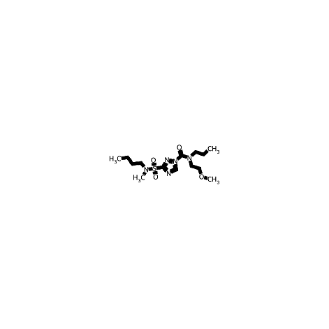 CCCCN(C)S(=O)(=O)c1ncn(C(=O)N(CCC)CCOC)n1